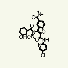 CN(C)C(=O)c1ccc2oc(C(=O)Nc3ccc(Cl)cn3)c(N(C(=O)C3CCCCC3)N(C)C=O)c2c1